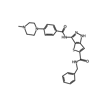 CN1CCN(c2ccc(C(=O)Nc3n[nH]c4cc(C(=O)NCc5ccccc5)sc34)cc2)CC1